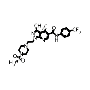 Cc1nn(CCN2CCN(S(C)(=O)=O)CC2)c2ncc(C(=O)Nc3ccc(C(F)(F)F)cc3)c(Cl)c12